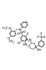 COc1ccc(CN(c2ccncn2)S(=O)(=O)c2cc(Cl)c(N[C@H]3CC[C@@](O)(c4cccc(C(F)(F)F)c4)CC3N)cc2F)c(OC)c1